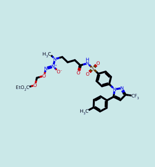 CCOC(=O)OCON=[N+]([O-])N(C)CCCC(=O)NS(=O)(=O)c1ccc(-n2nc(C(F)(F)F)cc2-c2ccc(C)cc2)cc1